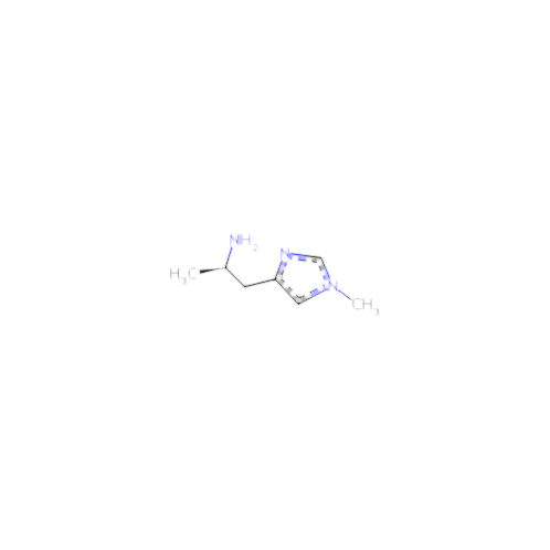 C[C@@H](N)Cc1cn(C)cn1